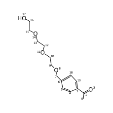 CC(=O)c1ccc(COCCOCCOCCO)cc1